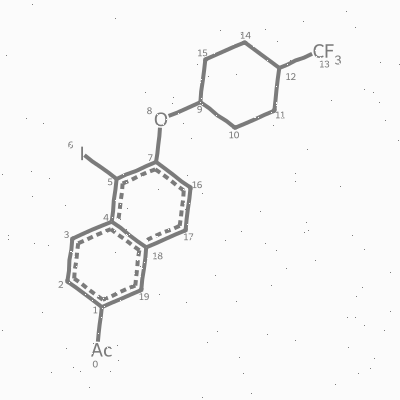 CC(=O)c1ccc2c(I)c(OC3CCC(C(F)(F)F)CC3)ccc2c1